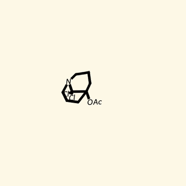 CC(=O)OC12CCCN(CCC1)C2(Cl)Cl